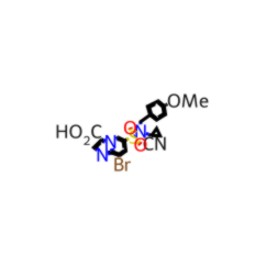 COc1ccc(CN(C2(C#N)CC2)S(=O)(=O)c2cc(Br)c3ncc(C(=O)O)n3c2)cc1